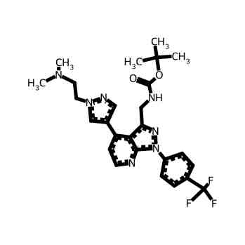 CN(C)CCn1cc(-c2ccnc3c2c(CNC(=O)OC(C)(C)C)nn3-c2ccc(C(F)(F)F)cc2)cn1